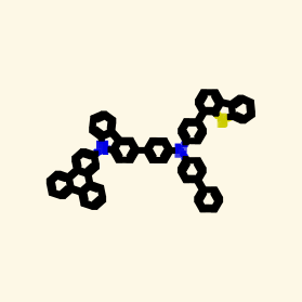 c1ccc(-c2ccc(N(c3ccc(-c4ccc5c(c4)c4ccccc4n5-c4ccc5c6ccccc6c6ccccc6c5c4)cc3)c3ccc(-c4cccc5c4sc4ccccc45)cc3)cc2)cc1